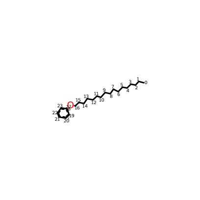 CCCCCCCCCCCCCCCCCOc1c[c]ccc1